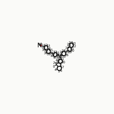 CC1(C)c2ccccc2-c2ccc(N(c3ccc(-c4ccc5ccccc5c4)cc3)c3ccc(-c4ccc5cc(C#N)ccc5c4)cc3)cc21